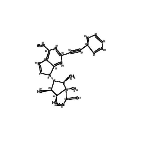 CNC(=O)C1(C)[C@H](C)[C@@H](n2cnc3c(NC)nc(C#Cc4cnccn4)nc32)[C@H](O)[C@@H]1O